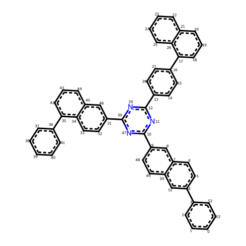 c1ccc(-c2ccc3cc(-c4nc(-c5ccc(-c6cccc7ccccc67)cc5)nc(-c5ccc6c(-c7ccccc7)cccc6c5)n4)ccc3c2)cc1